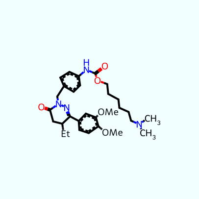 CCC1CC(=O)N(Cc2ccc(NC(=O)OCCCCCCN(C)C)cc2)N=C1c1ccc(OC)c(OC)c1